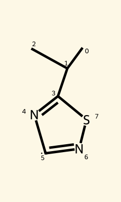 CC(C)c1n[c]ns1